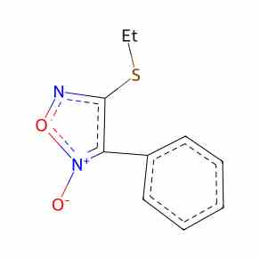 CCSc1no[n+]([O-])c1-c1ccccc1